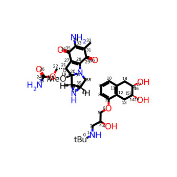 CC(C)(C)NCC(O)COc1cccc2c1C[C@H](O)[C@H](O)C2.CO[C@@]12[C@H](COC(N)=O)C3=C(C(=O)C(C)=C(N)C3=O)N1C[C@@H]1N[C@@H]12